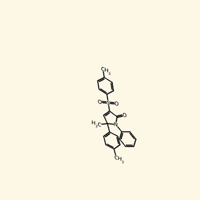 Cc1ccc(C2(C)C=C(S(=O)(=O)c3ccc(C)cc3)C(=O)N2c2ccccc2)cc1